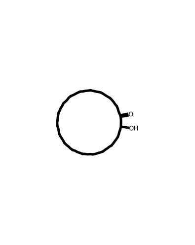 O=C1CCCCCCCCCCCCCCCCCC1O